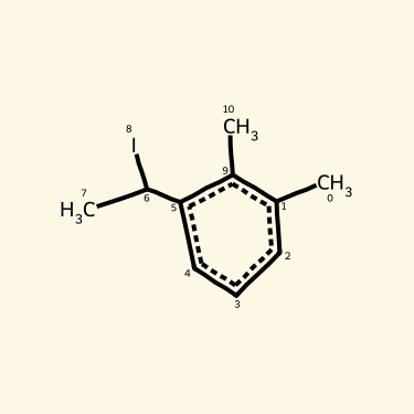 Cc1cccc(C(C)I)c1C